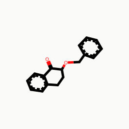 O=C1c2ccccc2CCC1OCc1ccccc1